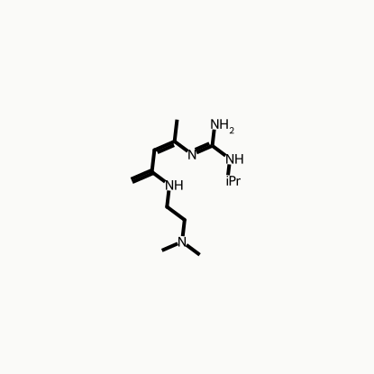 C=C(/C=C(C)\N=C(/N)NC(C)C)NCCN(C)C